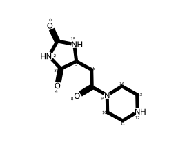 O=C1NC(=O)C(CC(=O)N2CCNCC2)N1